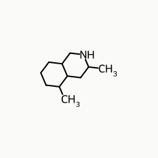 CC1CC2C(C)CCCC2CN1